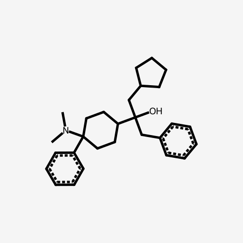 CN(C)C1(c2ccccc2)CCC(C(O)(Cc2ccccc2)CC2CCCC2)CC1